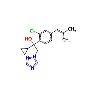 CC(C)=Cc1ccc(C(O)(Cn2cncn2)C2CC2)c(Cl)c1